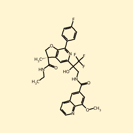 CCNC(=O)[C@@]1(C)COc2c1cc(C(O)(CNC(=O)c1cc(OC)c3ncccc3c1)C(F)(F)F)nc2-c1ccc(F)cc1